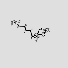 CCO[Si](C)(C)CCCCCC(C)C